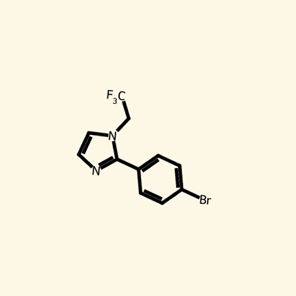 FC(F)(F)Cn1ccnc1-c1ccc(Br)cc1